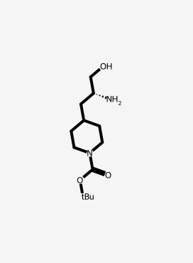 CC(C)(C)OC(=O)N1CCC(C[C@@H](N)CO)CC1